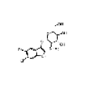 CC(=O)N[C@H]1[C@H](Oc2c[nH]c3cc(Cl)c(Br)cc23)O[C@H](CO)[C@@H](O)[C@@H]1O